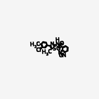 Cc1ccc(-c2nc(NS(=O)(=O)c3cccc4nonc34)sc2C)cc1Cl